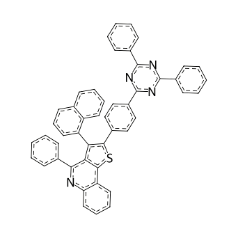 c1ccc(-c2nc(-c3ccccc3)nc(-c3ccc(-c4sc5c(c(-c6ccccc6)nc6ccccc65)c4-c4cccc5ccccc45)cc3)n2)cc1